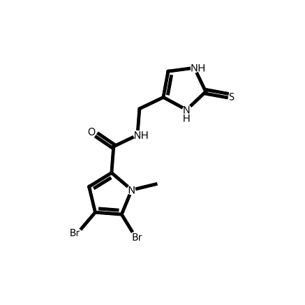 Cn1c(C(=O)NCc2c[nH]c(=S)[nH]2)cc(Br)c1Br